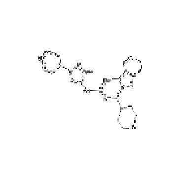 c1cnc2oc3c(N4CCOCC4)nc(Nc4cc(-c5ccncc5)n[nH]4)nc3c2c1